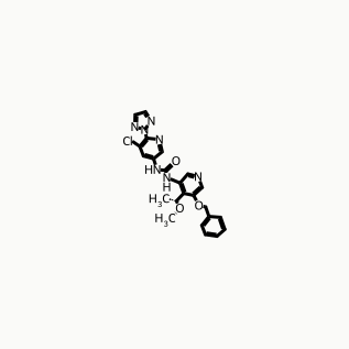 CO[C@H](C)c1c(NC(=O)Nc2cnc(-n3nccn3)c(Cl)c2)cncc1OCc1ccccc1